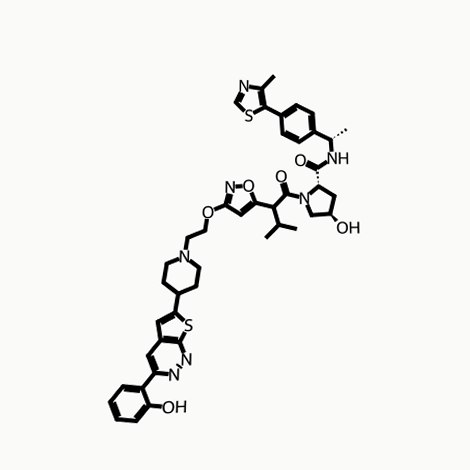 Cc1ncsc1-c1ccc([C@H](C)NC(=O)[C@@H]2C[C@@H](O)CN2C(=O)C(c2cc(OCCN3CCC(c4cc5cc(-c6ccccc6O)nnc5s4)CC3)no2)C(C)C)cc1